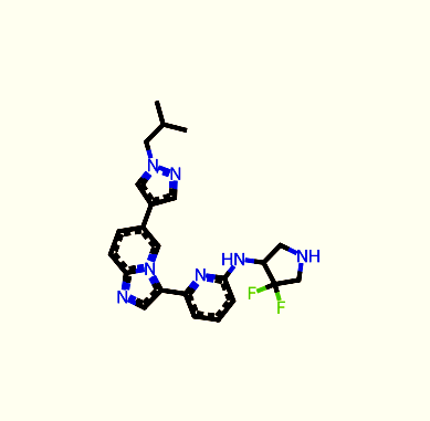 CC(C)Cn1cc(-c2ccc3ncc(-c4cccc(NC5CNCC5(F)F)n4)n3c2)cn1